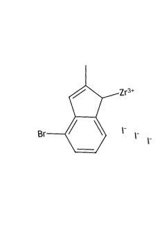 CC1=Cc2c(Br)cccc2[CH]1[Zr+3].[I-].[I-].[I-]